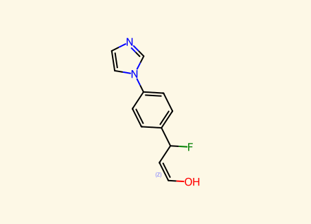 O/C=C\C(F)c1ccc(-n2ccnc2)cc1